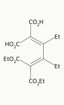 CCOC(=O)C(C(=O)OCC)=C(CC)C(CC)=C(C(=O)O)C(=O)O